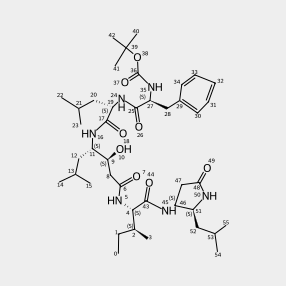 CC[C@H](C)[C@H](NC(=O)C[C@H](O)[C@H](CC(C)C)NC(=O)[C@H](CC(C)C)NC(=O)[C@H](Cc1ccccc1)NC(=O)OC(C)(C)C)C(=O)N[C@H]1CC(=O)N[C@H]1CC(C)C